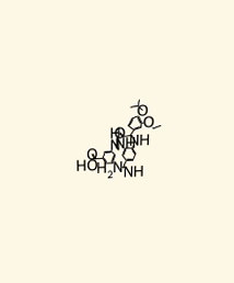 CCOc1cc(C(Nc2ccc(C(=N)N)cc2)C(=O)NNc2cccc(C(=O)O)c2)ccc1OC(C)C